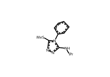 CSc1nnc(NC(C)C)n1-c1ccccc1